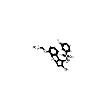 O=C(O)COc1cccc2c1OC1CC(O)C(NS(=O)(=O)c3cccc(F)c3)C21